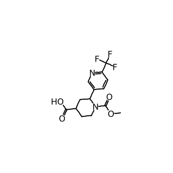 COC(=O)N1CCC(C(=O)O)CC1c1ccc(C(F)(F)F)nc1